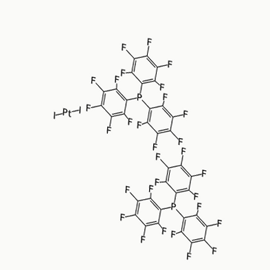 Fc1c(F)c(F)c(P(c2c(F)c(F)c(F)c(F)c2F)c2c(F)c(F)c(F)c(F)c2F)c(F)c1F.Fc1c(F)c(F)c(P(c2c(F)c(F)c(F)c(F)c2F)c2c(F)c(F)c(F)c(F)c2F)c(F)c1F.[I][Pt][I]